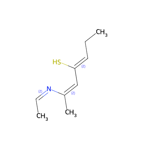 C\C=N/C(C)=C\C(S)=C\CC